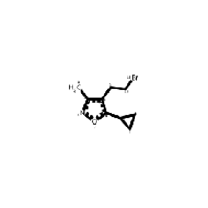 Cc1noc(C2CC2)c1CCBr